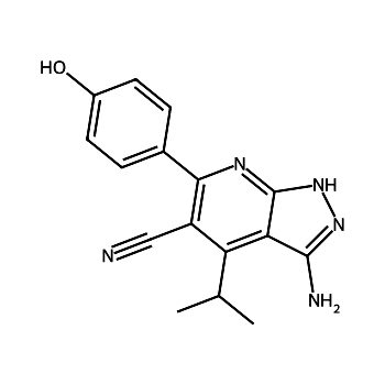 CC(C)c1c(C#N)c(-c2ccc(O)cc2)nc2[nH]nc(N)c12